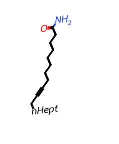 CCCCCCCCC#CCCCCCCCC(N)=O